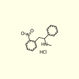 CNC(Cc1ccccc1[N+](=O)[O-])c1ccccc1.Cl